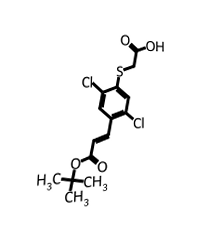 CC(C)(C)OC(=O)C=Cc1cc(Cl)c(SCC(=O)O)cc1Cl